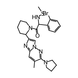 CSNC(C(=O)N1CCCCC1c1cn2nc(N3CCCC3)c(C)cc2n1)c1ccccc1Br